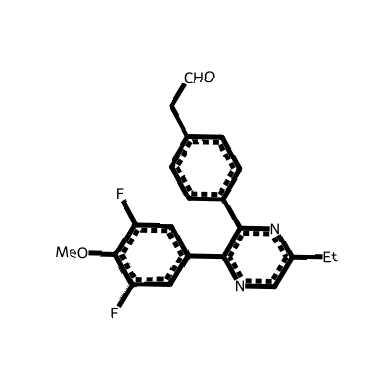 CCc1cnc(-c2cc(F)c(OC)c(F)c2)c(-c2ccc(CC=O)cc2)n1